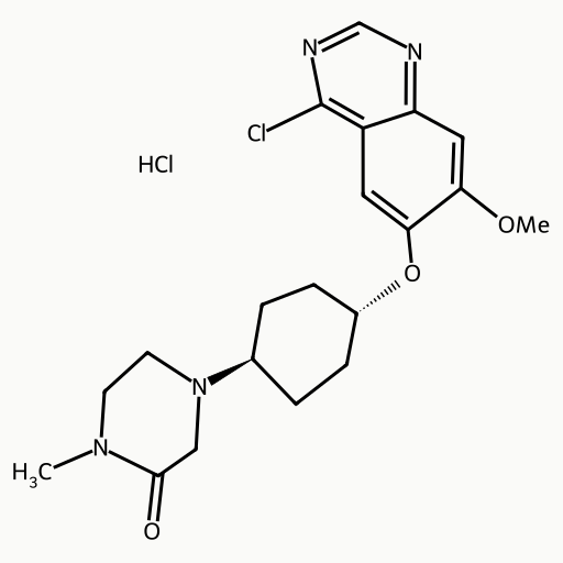 COc1cc2ncnc(Cl)c2cc1O[C@H]1CC[C@H](N2CCN(C)C(=O)C2)CC1.Cl